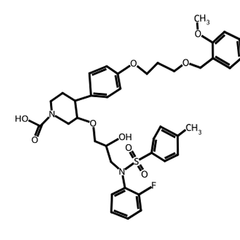 COc1ccccc1COCCCOc1ccc(C2CCN(C(=O)O)CC2OCC(O)CN(c2ccccc2F)S(=O)(=O)c2ccc(C)cc2)cc1